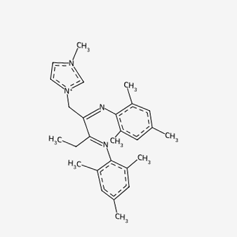 CCC(=Nc1c(C)cc(C)cc1C)C(C[n+]1ccn(C)c1)=Nc1c(C)cc(C)cc1C